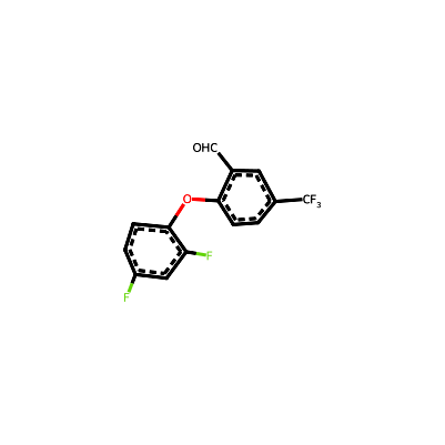 O=Cc1cc(C(F)(F)F)ccc1Oc1ccc(F)cc1F